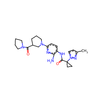 Cc1ccn(C2(C(=O)Nc3ccc(N4CCCC(C(=O)N5CCCC5)C4)nc3N)CC2)n1